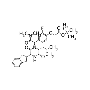 CC(C)C[C@@H]1C(=O)NC(C2Cc3ccccc3C2)C(=O)N1[C@@H](C(=O)N(C)C)c1ccc(OCC(=O)OC(C)(C)C)c(F)c1